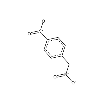 O=[N+]([O-])Cc1ccc([N+](=O)[O-])cc1